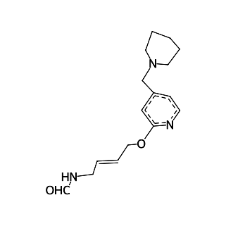 O=CNCC=CCOc1cc(CN2CCCCC2)ccn1